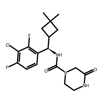 CC1(C)CC([C@@H](NC(=O)N2CCNC(=O)C2)c2ccc(F)c(Cl)c2F)C1